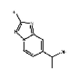 CC(O)c1ccn2nc(Br)nc2c1